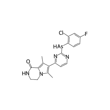 Cc1c(-c2ccnc([AsH]c3ccc(F)cc3Cl)n2)c(C)n2c1C(=O)NCC2